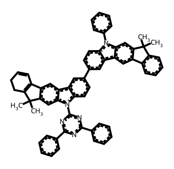 CC1(C)C2=C(C=CCC2)c2cc3c4cc(-c5ccc6c(c5)c5cc7c(cc5n6-c5ccccc5)C(C)(C)c5ccccc5-7)ccc4n(-c4nc(-c5ccccc5)nc(-c5ccccc5)n4)c3cc21